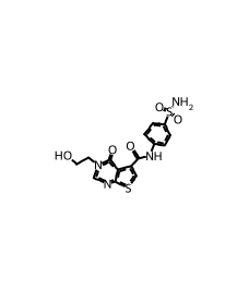 NS(=O)(=O)c1ccc(NC(=O)c2csc3ncn(CCO)c(=O)c23)cc1